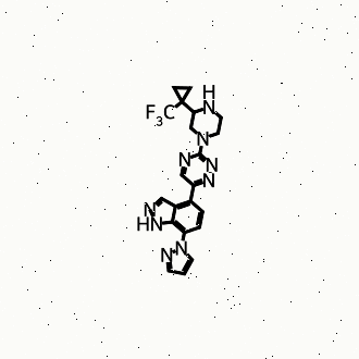 FC(F)(F)C1(C2CN(c3ncc(-c4ccc(-n5cccn5)c5[nH]ncc45)nn3)CCN2)CC1